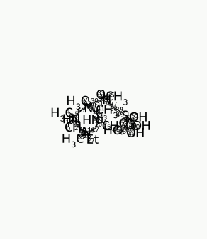 C=Cc1c(C)c2cc3nc(c(C)c4cc(C)c(cc5nc(cc1[nH]2)C(C)=C5CC)[nH]4)[C@@H](CCC(=O)N(C)CCCCCS[C@@H]1O[C@H](CO)[C@@H](O)[C@H](O)[C@H]1O)[C@@H]3C